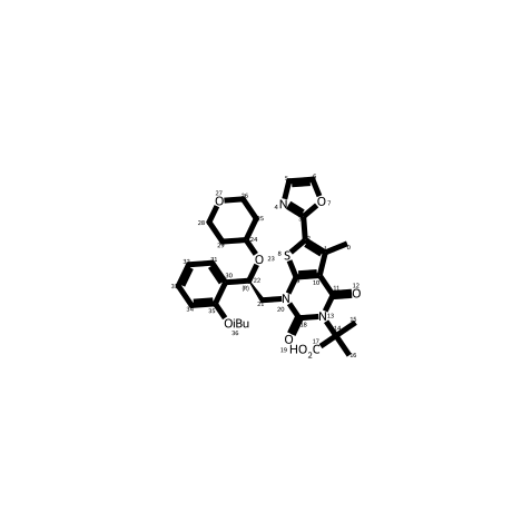 Cc1c(-c2ncco2)sc2c1c(=O)n(C(C)(C)C(=O)O)c(=O)n2C[C@H](OC1CCOCC1)c1ccccc1OCC(C)C